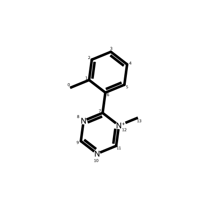 Cc1ccccc1-c1ncnc[n+]1C